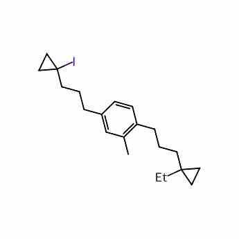 CCC1(CCCc2ccc(CCCC3(I)CC3)cc2C)CC1